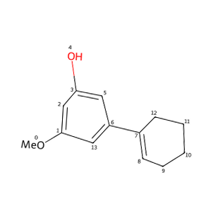 COc1cc(O)cc(C2=CCCCC2)c1